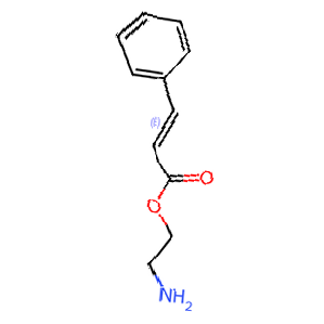 NCCOC(=O)/C=C/c1ccccc1